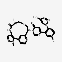 C[C@@H]1CCC[C@H](n2cnc(-c3cc(Cl)ccc3-n3cc(O)nn3)cc2=O)c2cc(ccn2)-c2c(cnn2C)NC1=O